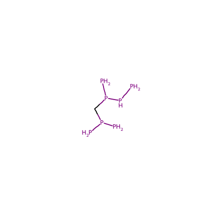 PPP(P)CP(P)P